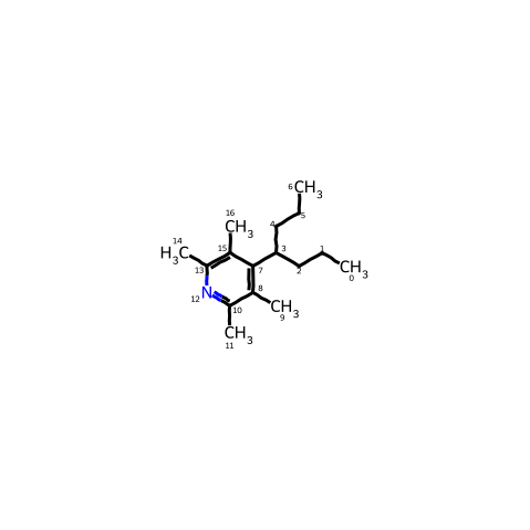 CCCC(CCC)c1c(C)c(C)nc(C)c1C